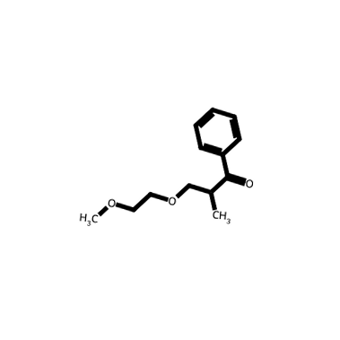 COCCOCC(C)C(=O)c1ccccc1